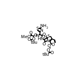 C=CC1=C(C(=O)OCOC(=O)C(C)(C)C)N2C(=O)C(NC(=O)C(=NOC(OC(=O)C(C)(C)C)C(=O)OC)c3csc(N)n3)[C@@H]2SC1